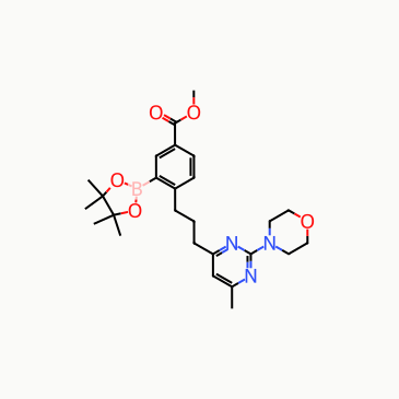 COC(=O)c1ccc(CCCc2cc(C)nc(N3CCOCC3)n2)c(B2OC(C)(C)C(C)(C)O2)c1